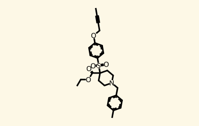 CC#CCOc1ccc(S(=O)(=O)C2(C(=O)OCC)CCN(Cc3ccc(C)cc3)CC2)cc1